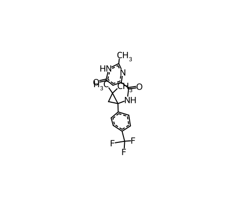 Cc1nc(C(=O)NC2(c3ccc(C(F)(F)F)cc3)CC2(C)C)cc(=O)[nH]1